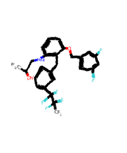 OC(CNc1cccc(OCc2cc(F)cc(F)c2)c1Cc1cccc(C(F)(F)C(F)(F)C(F)(F)F)c1)C(F)(F)F